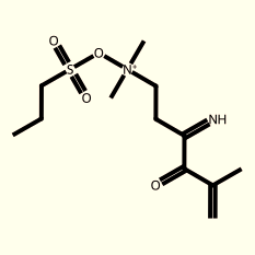 C=C(C)C(=O)C(=N)CC[N+](C)(C)OS(=O)(=O)CCC